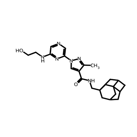 Cc1nn(-c2cncc(NCCO)n2)cc1C(=O)NCC12CC3CC4CC(C1)C4(C3)C2